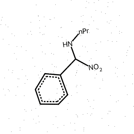 CCCNC(c1ccccc1)[N+](=O)[O-]